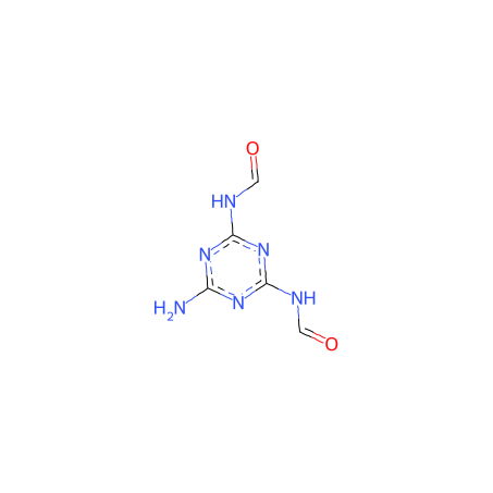 Nc1nc(NC=O)nc(NC=O)n1